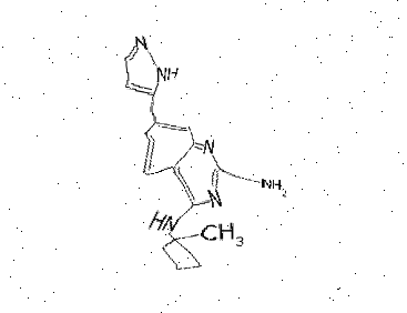 CC1(Nc2nc(N)nc3cc(-c4ccn[nH]4)ccc23)CCC1